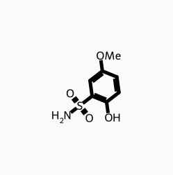 COc1ccc(O)c(S(N)(=O)=O)c1